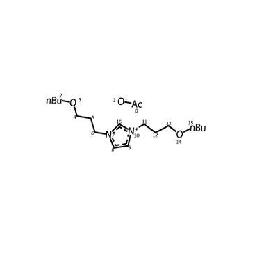 CC(=O)[O-].CCCCOCCCn1cc[n+](CCCOCCCC)c1